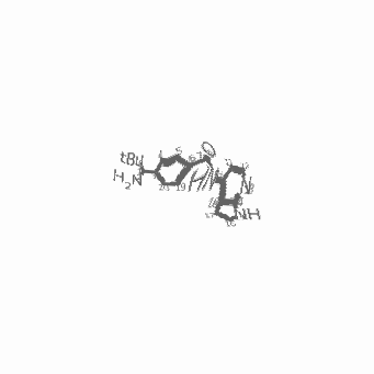 CC(C)(C)C(N)c1ccc(C(=O)Nc2ccnc3[nH]ccc23)cc1